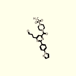 CS(=O)(=O)N1CCN(C(=O)c2cc(CCC=O)nc(-c3ccc(-n4cccn4)cc3)n2)CC1